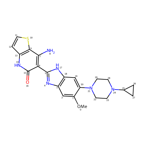 COc1cc2nc(-c3c(N)c4sccc4[nH]c3=O)[nH]c2cc1N1CCN(C2CC2)CC1